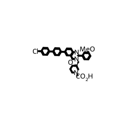 COc1ccccc1-c1nc2ccc(-c3ccc(-c4ccc(Cl)cc4)cc3)cc2c(=O)n1C[C@@H]1CCCN(C(=O)O)C1